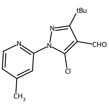 Cc1ccnc(-n2nc(C(C)(C)C)c(C=O)c2Cl)c1